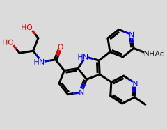 CC(=O)Nc1cc(-c2[nH]c3c(C(=O)NC(CO)CO)ccnc3c2-c2ccc(C)nc2)ccn1